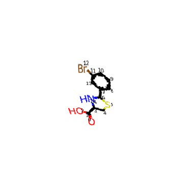 O=C(O)C1CSC(c2cccc(Br)c2)N1